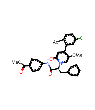 COC(=O)c1ccc(NC(=O)[C@H](Cc2ccccc2)n2cc(OC)c(-c3cc(Cl)ccc3C(C)=O)cc2=O)cc1